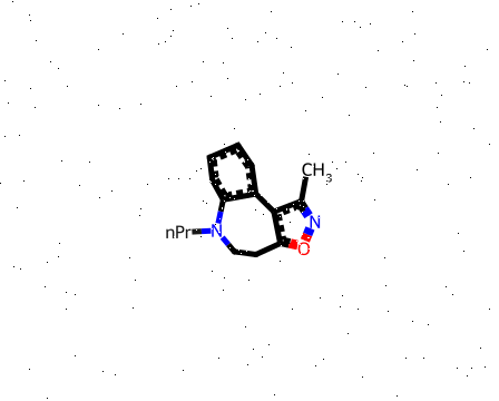 CCCN1CCc2onc(C)c2-c2ccccc21